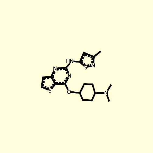 Cc1cc(Nc2nc(OC3CCC(N(C)C)CC3)c3sccc3n2)sn1